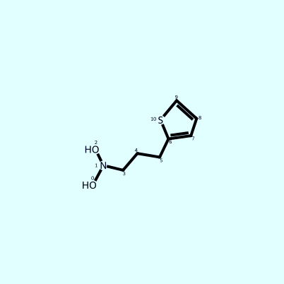 ON(O)CCCc1cccs1